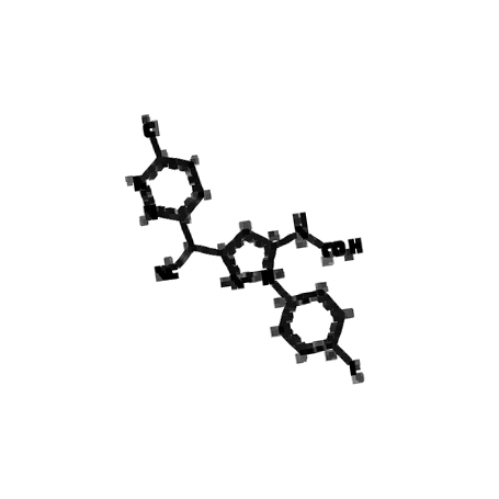 N#CC(c1ccc(Cl)nn1)c1cc(NC(=O)O)n(-c2ccc(F)cc2)n1